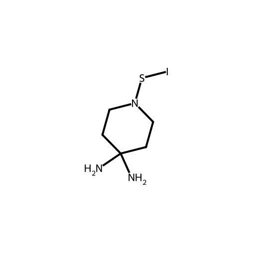 NC1(N)CCN(SI)CC1